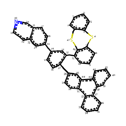 c1ccc2c(c1)Sc1cccc(-c3cc(-c4ccc5cnccc5c4)ccc3-c3ccc4c5ccccc5c5ccccc5c4c3)c1S2